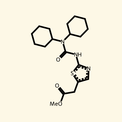 COC(=O)Cc1cnc(NC(=O)N(C2CCCCC2)C2CCCCC2)s1